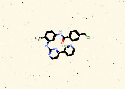 Cc1ccc(NC(=O)c2ccc(CCl)cc2)cc1Nc1nccc(-c2cccn[14cH]2)n1